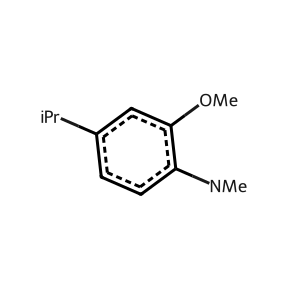 CNc1ccc(C(C)C)cc1OC